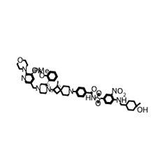 COc1cc(CN2CCN([C@@H]3CC4(CCN(c5ccc(C(=O)NS(=O)(=O)c6ccc(NCC7CCC(C)(O)CC7)c([N+](=O)[O-])c6)cc5)CC4)[C@@H]3C)[C@@H](c3ccccc3OC(C)C)C2)cnc1N1CCOCC1